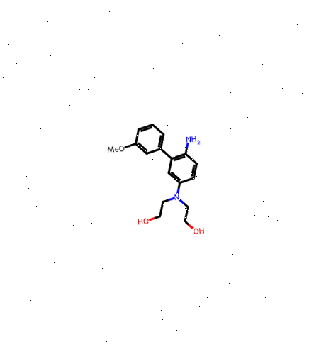 COc1cccc(-c2cc(N(CCO)CCO)ccc2N)c1